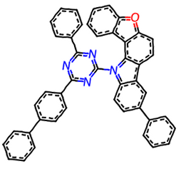 c1ccc(-c2ccc(-c3nc(-c4ccccc4)nc(-n4c5ccc(-c6ccccc6)cc5c5ccc6oc7ccccc7c6c54)n3)cc2)cc1